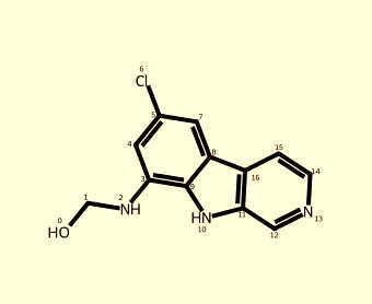 OCNc1cc(Cl)cc2c1[nH]c1cnccc12